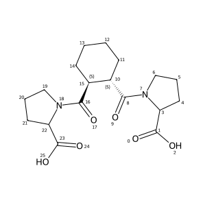 O=C(O)C1CCCN1C(=O)[C@H]1CCCC[C@@H]1C(=O)N1CCCC1C(=O)O